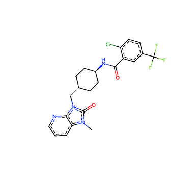 Cn1c(=O)n(C[C@H]2CC[C@H](NC(=O)c3cc(C(F)(F)F)ccc3Cl)CC2)c2ncccc21